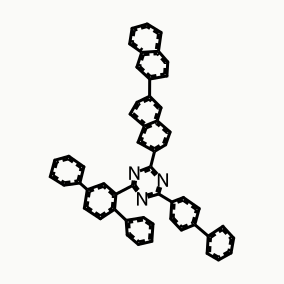 c1ccc(-c2ccc(-c3nc(-c4ccc5cc(-c6ccc7ccccc7c6)ccc5c4)nc(-c4cc(-c5ccccc5)ccc4-c4ccccc4)n3)cc2)cc1